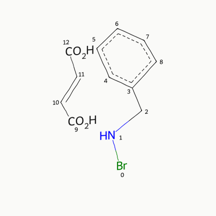 BrNCc1ccccc1.O=C(O)/C=C/C(=O)O